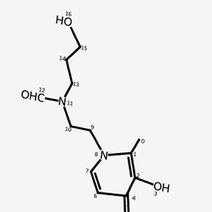 Cc1c(O)c(=O)ccn1CCN(C=O)CCCO